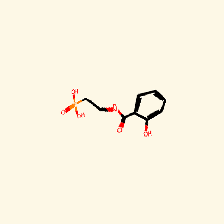 O=C(OCCP(=O)(O)O)c1ccccc1O